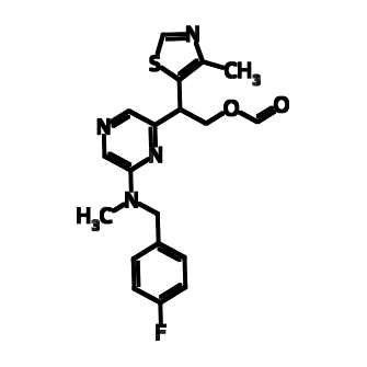 Cc1ncsc1C(COC=O)c1cncc(N(C)Cc2ccc(F)cc2)n1